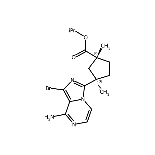 CC(C)OC(=O)[C@]1(C)CC[C@@](C)(c2nc(Br)c3c(N)nccn23)C1